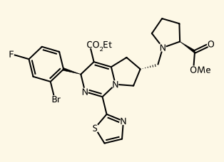 CCOC(=O)C1=C2C[C@H](CN3CCC[C@H]3C(=O)OC)CN2C(c2nccs2)=N[C@H]1c1ccc(F)cc1Br